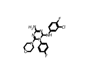 NC1=NC(Nc2ccc(F)c(Cl)c2)N(c2ccc(F)cc2)C(N2CCOCC2)=N1